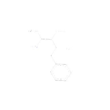 CCCCCCCCCC(N)C(CCCCC)CCc1ccccc1.Cl